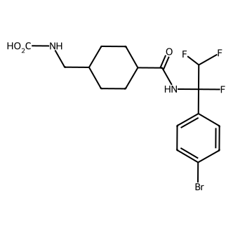 O=C(O)NCC1CCC(C(=O)NC(F)(c2ccc(Br)cc2)C(F)F)CC1